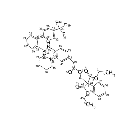 CCOC(=O)C(COC(=O)Cc1ccc(NC(=O)c2ccccc2-c2ccc(C(F)(F)F)cc2)c(N2CCCCC2)c1)(C(=O)OCC)c1ccccc1